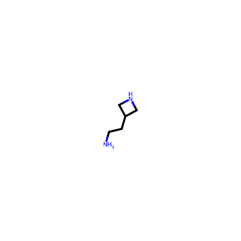 NCCC1CNC1